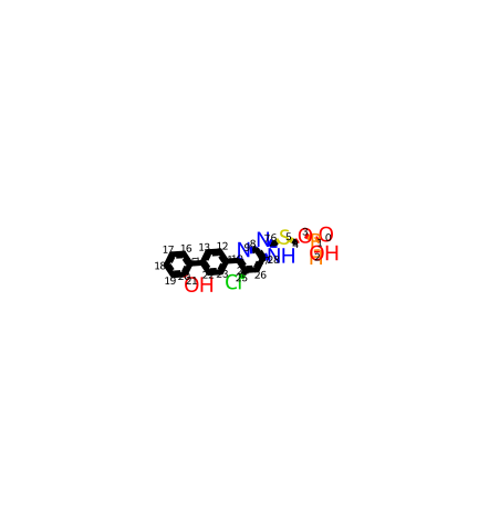 O=[PH](O)OCSc1nc2nc(-c3ccc(-c4ccccc4O)cc3)c(Cl)cc2[nH]1